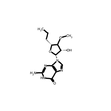 CCC[C@H]1O[C@@H](n2cnc3c(=O)[nH]c(N)nc32)[C@@H](O)C1OC